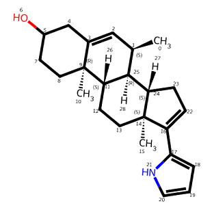 C[C@@H]1C=C2CC(O)CC[C@]2(C)[C@H]2CC[C@]3(C)C(c4ccc[nH]4)=CC[C@H]3[C@H]12